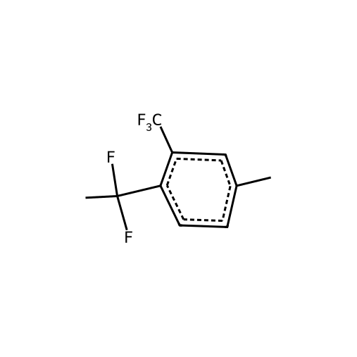 Cc1ccc(C(C)(F)F)c(C(F)(F)F)c1